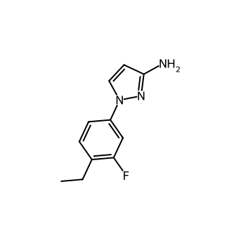 CCc1ccc(-n2ccc(N)n2)cc1F